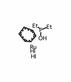 CCP(O)CC.I.I.[Ru].c1ccccc1